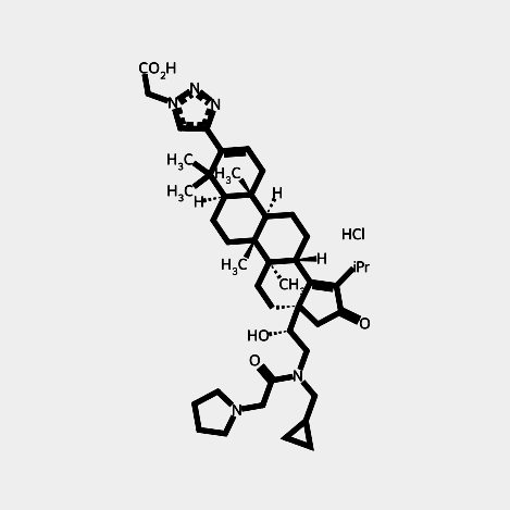 CC(C)C1=C2[C@H]3CC[C@@H]4[C@@]5(C)CC=C(c6cn(CC(=O)O)nn6)C(C)(C)[C@@H]5CC[C@@]4(C)[C@]3(C)CC[C@@]2([C@@H](O)CN(CC2CC2)C(=O)CN2CCCC2)CC1=O.Cl